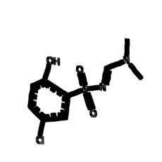 CN(C)/C=N/S(=O)(=O)c1cc(Cl)ccc1O